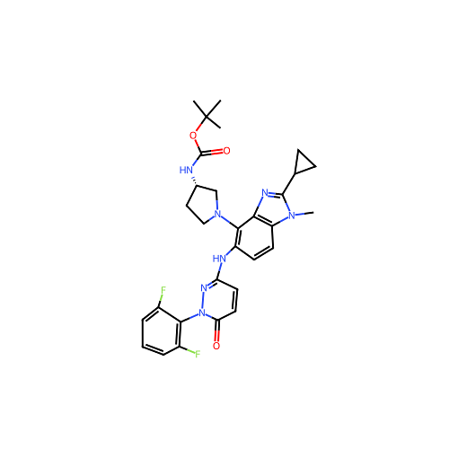 Cn1c(C2CC2)nc2c(N3CC[C@H](NC(=O)OC(C)(C)C)C3)c(Nc3ccc(=O)n(-c4c(F)cccc4F)n3)ccc21